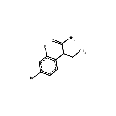 CCC(C(N)=O)c1ccc(Br)cc1F